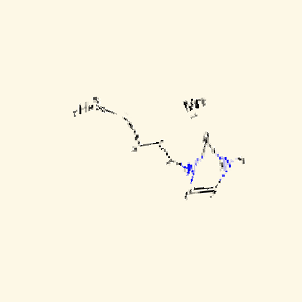 CCCCCCCCCCN1C=CN(C)C1.[Mn]